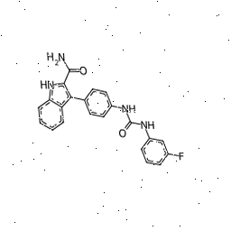 NC(=O)c1[nH]c2ccccc2c1-c1ccc(NC(=O)Nc2cccc(F)c2)cc1